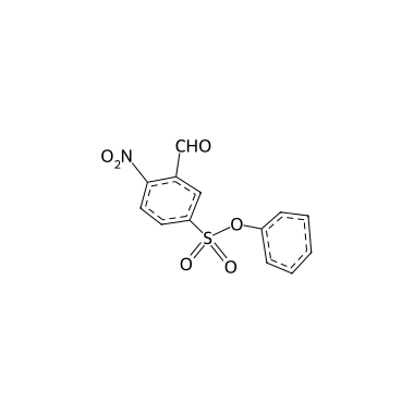 O=Cc1cc(S(=O)(=O)Oc2ccccc2)ccc1[N+](=O)[O-]